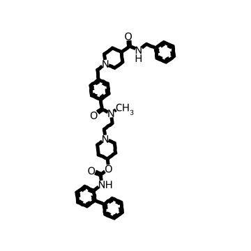 CN(CCN1CCC(OC(=O)Nc2ccccc2-c2ccccc2)CC1)C(=O)c1ccc(CN2CCC(C(=O)NCc3ccccc3)CC2)cc1